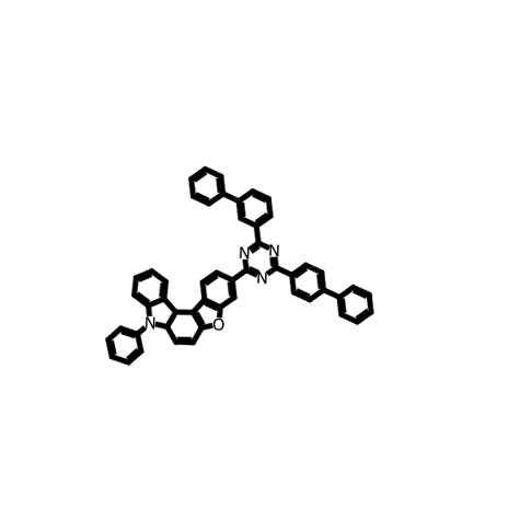 C1=CC2C(c3ccccc3N2c2ccccc2)c2c1oc1cc(-c3nc(-c4ccc(-c5ccccc5)cc4)nc(-c4cccc(-c5ccccc5)c4)n3)ccc21